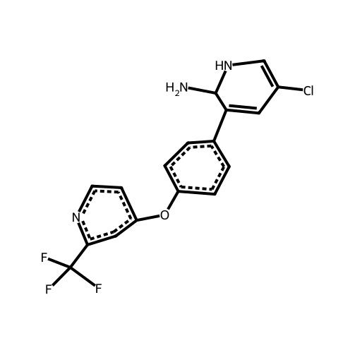 NC1NC=C(Cl)C=C1c1ccc(Oc2ccnc(C(F)(F)F)c2)cc1